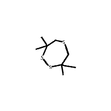 CC1(C)CSCC(C)(C)SS1